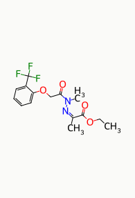 CCOC(=O)/C(C)=N\N(C)C(=O)COc1ccccc1C(F)(F)F